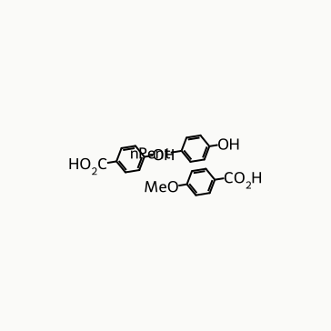 CCCCCc1ccc(O)cc1.COc1ccc(C(=O)O)cc1.O=C(O)c1ccc(O)cc1